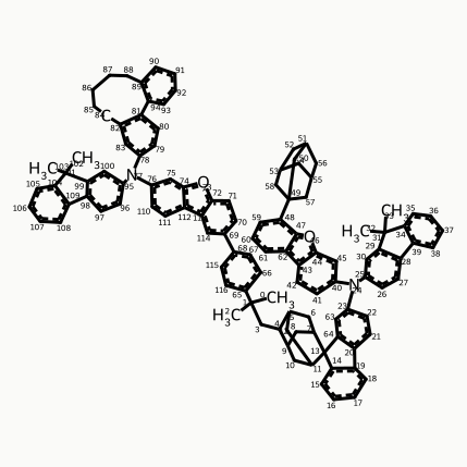 CC(C)(CC1C2CC3CC1CC(C2)C31c2ccccc2-c2ccc(N(c3ccc4c(c3)C(C)(C)c3ccccc3-4)c3ccc4c(c3)oc3c(C56CC7CC(CC(C7)C5)C6)cccc34)cc21)c1ccc(-c2ccc3oc4cc(N(c5ccc6c(c5)CCCCCc5ccccc5-6)c5ccc6c(c5)C(C)(C)c5ccccc5-6)ccc4c3c2)cc1